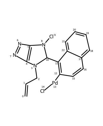 C=CCN1C2=C(N=N2)N(Cl)C1c1[c]([Pd][Cl])ccc2ccccc12